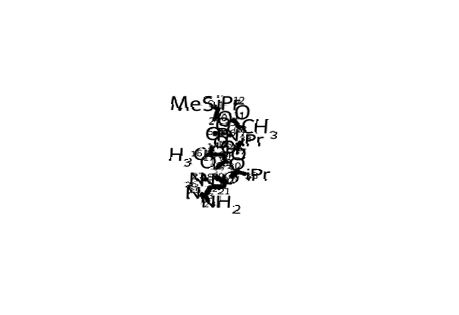 CSCCOP(=O)(N[C@@H](C)C(=O)OC(C)C)OC[C@@]1(C)O[C@@H](c2ccc3c(N)ncnn23)[C@H](OC(=O)C(C)C)[C@@H]1OC(=O)C(C)C